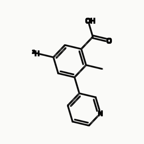 [2H]c1cc(C(=O)O)c(C)c(-c2cccnc2)c1